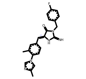 Cc1cn(-c2ccc(/C=C3\NC(=N)N(Cc4ccc(F)cc4)C3=O)cc2C)cn1